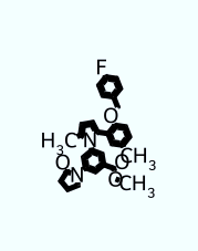 COC(=O)c1cc(N2CCCC2=O)cc(-n2c(C)ccc2-c2cc(C)ccc2OCc2ccc(F)cc2)c1